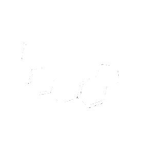 NCc1ccc(Oc2ccc3c(c2)COB3)cc1